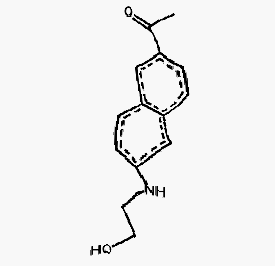 CC(=O)c1ccc2cc(NCCO)ccc2c1